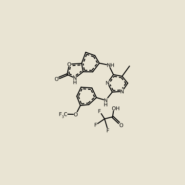 Cc1cnc(Nc2cccc(OC(F)(F)F)c2)nc1Nc1ccc2oc(=O)[nH]c2c1.O=C(O)C(F)(F)F